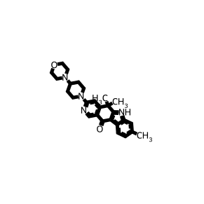 Cc1ccc2c3c([nH]c2c1)C(C)(C)c1cc(N2CCC(N4CCOCC4)CC2)ncc1C3=O